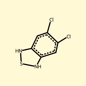 Clc1cc2c(cc1Cl)NSN2